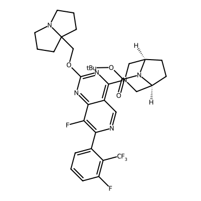 CC(C)(C)OC(=O)N1[C@@H]2CC[C@H]1CN(c1nc(OCC34CCCN3CCC4)nc3c(F)c(-c4cccc(F)c4C(F)(F)F)ncc13)C2